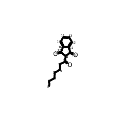 CCCCCCC(=O)C1C(=O)c2ccccc2C1=O